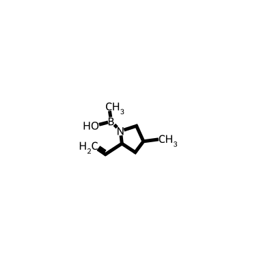 C=CC1CC(C)CN1B(C)O